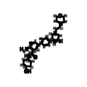 Nc1ncc(-c2ccc([C@]34C[C@H]3CN(CCN3CCOCC3)C4)cc2)cc1C(=O)NC1CCC(O)CC1